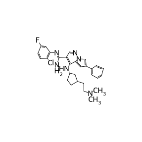 CN(C)CCC1CC[C@H](Nc2c(/C(N)=N/c3cc(F)ccc3Cl)cnn3cc(-c4ccccc4)cc23)C1